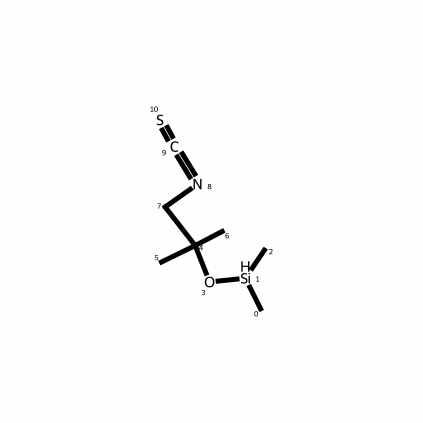 C[SiH](C)OC(C)(C)CN=C=S